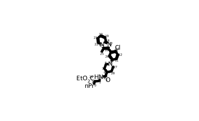 CCCC(CNC(=O)C1CCN(c2ccc(Cl)c(-c3nc4ccccn4c3C)c2)CC1)C(=O)OCC